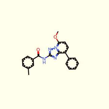 COc1ccc(-c2ccccc2)c2nc(NC(=O)c3cccc(C)c3)nn12